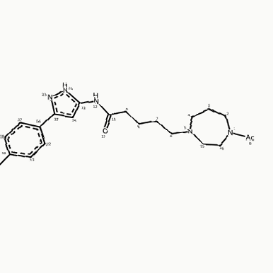 CC(=O)N1CCCN(CCCCC(=O)Nc2cc(-c3ccc(Br)cc3)n[nH]2)CC1